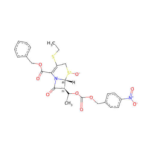 CCSC1=C(C(=O)OCc2ccccc2)N2C(=O)[C@H](C(C)OC(=O)OCc3ccc([N+](=O)[O-])cc3)[C@H]2[S+]([O-])C1